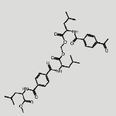 COC(=O)C(CC(C)C)NC(=O)c1ccc(C(=O)NC(CC(C)C)C(=O)OCOC(=O)C(CC(C)C)NC(=O)c2ccc(C(C)=O)cc2)cc1